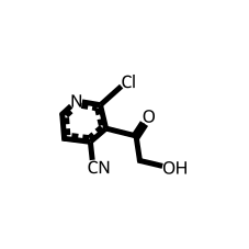 N#Cc1ccnc(Cl)c1C(=O)CO